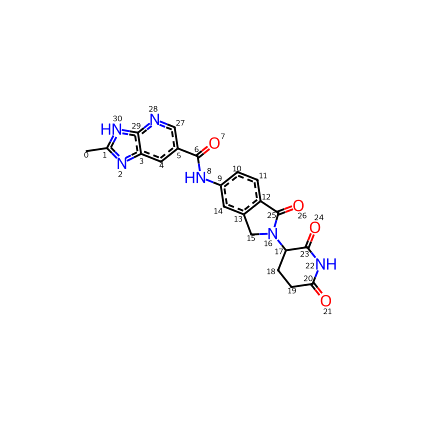 Cc1nc2cc(C(=O)Nc3ccc4c(c3)CN(C3CCC(=O)NC3=O)C4=O)cnc2[nH]1